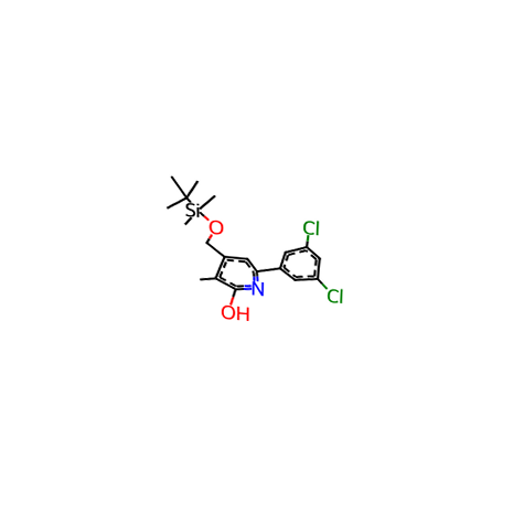 Cc1c(CO[Si](C)(C)C(C)(C)C)cc(-c2cc(Cl)cc(Cl)c2)nc1O